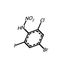 O=[N+]([O-])Nc1c(Cl)cc(Br)cc1I